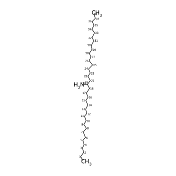 CCCCCCCCCCCCCCCCCCCC(N)CCCCCCCCCCCCCCCCCC